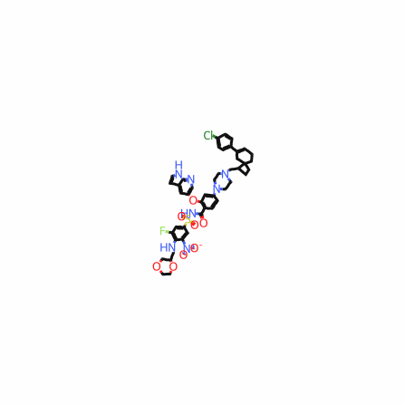 O=C(NS(=O)(=O)c1cc(F)c(NCC2COCCO2)c([N+](=O)[O-])c1)c1ccc(N2CCN(CC3CCC34CCC=C(c3ccc(Cl)cc3)C4)CC2)cc1Oc1cnc2[nH]ccc2c1